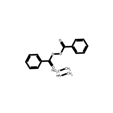 CC(=O)O.CCCC.O=C(OOC(=O)c1ccccc1)c1ccccc1